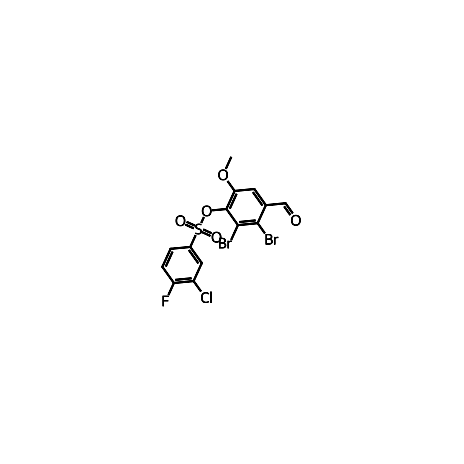 COc1cc(C=O)c(Br)c(Br)c1OS(=O)(=O)c1ccc(F)c(Cl)c1